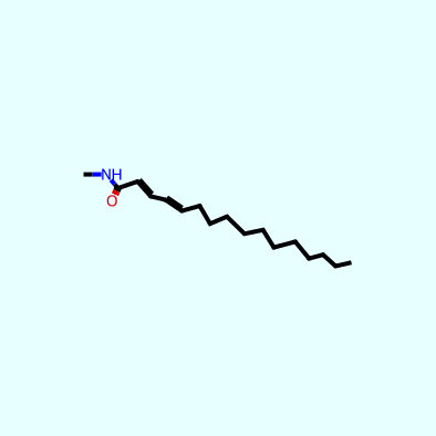 CCCCCCCCCCC/C=C/C=C/C(=O)NC